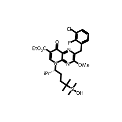 CCOC(=O)c1cn([C@H](CCC(C)(C)[Si](C)(C)O)C(C)C)c2nc(OC)c(Cc3cccc(Cl)c3F)nc2c1=O